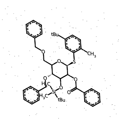 Cc1ccc(C(C)(C)C)cc1S[C@@H]1OC(COCc2ccccc2)[C@@H](OCc2ccccc2)C(O[Si](C)(C)C(C)(C)C)C1OC(=O)c1ccccc1